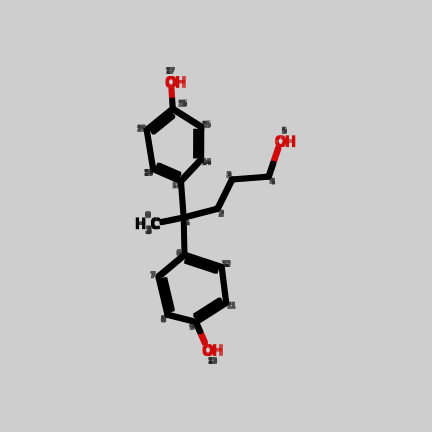 CC(CCCO)(c1ccc(O)cc1)c1ccc(O)cc1